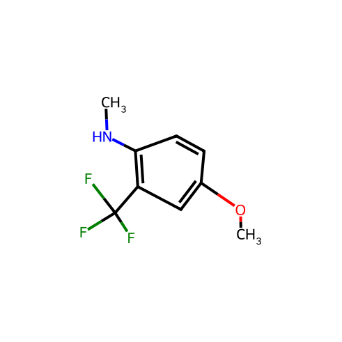 CNc1ccc(OC)cc1C(F)(F)F